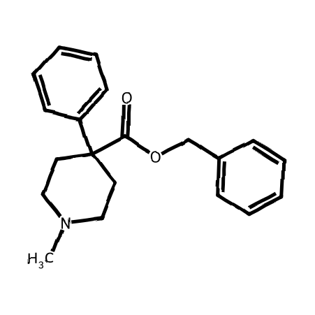 CN1CCC(C(=O)OCc2ccccc2)(c2ccccc2)CC1